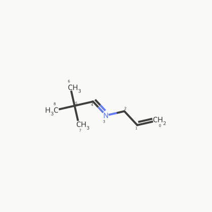 C=CCN=CC(C)(C)C